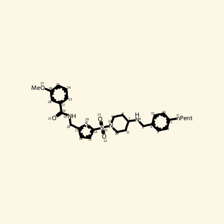 CCCCCc1ccc(CNC2CCN(S(=O)(=O)c3ccc(CNC(=O)c4cccc(OC)c4)s3)CC2)cc1